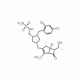 C[C@@H](O)[C@H]1C(=O)N2C(C(=O)O)=C(S[C@H]3C[C@@H](CNS(N)(=O)=O)N(Cc4ccc(Cl)cc4Cl)C3)[C@H](C)[C@H]12